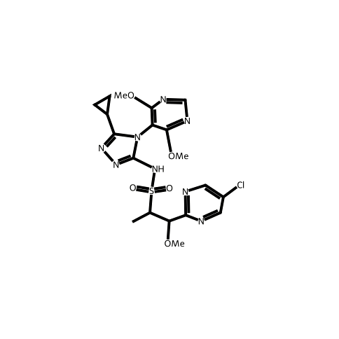 COc1ncnc(OC)c1-n1c(NS(=O)(=O)C(C)C(OC)c2ncc(Cl)cn2)nnc1C1CC1